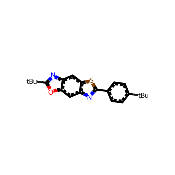 CC(C)(C)c1ccc(-c2nc3cc4oc(C(C)(C)C)nc4cc3s2)cc1